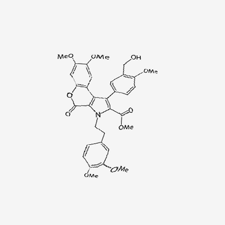 COC(=O)c1c(-c2ccc(OC)c(CO)c2)c2c3cc(OC)c(OC)cc3oc(=O)c2n1CCc1ccc(OC)c(OC)c1